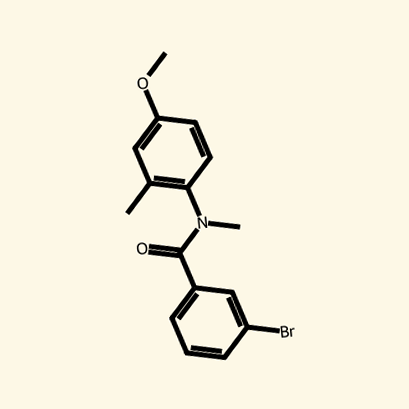 COc1ccc(N(C)C(=O)c2cccc(Br)c2)c(C)c1